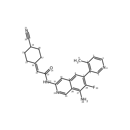 Cc1ccncc1-c1cc2cc(NC(=O)C=C3CCC(C#N)CC3)ncc2c(N)c1F